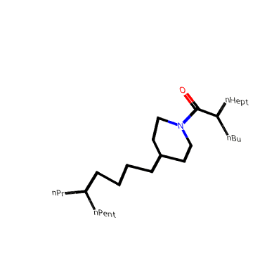 CCCCCCCC(CCCC)C(=O)N1CCC(CCCCC(CCC)CCCCC)CC1